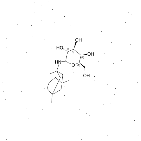 CC12CC3CC(C)(C1)CC(NC1O[C@H](CO)[C@H](O)[C@H](O)[C@H]1O)(C3)C2